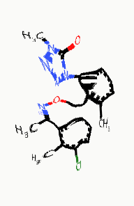 C/C(=N/OCc1c(C)cccc1-n1nnn(C)c1=O)c1cccc(Cl)c1C